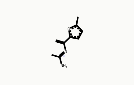 C=C(/N=C(\C)N)c1ccc(C)o1